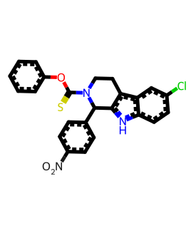 O=[N+]([O-])c1ccc(C2c3[nH]c4ccc(Cl)cc4c3CCN2C(=S)Oc2ccccc2)cc1